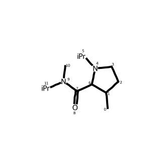 CC1CCN(C(C)C)C1C(=O)N(C)C(C)C